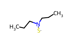 CCCN([S])CCC